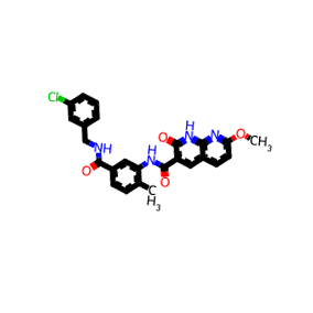 COc1ccc2cc(C(=O)Nc3cc(C(=O)NCc4cccc(Cl)c4)ccc3C)c(=O)[nH]c2n1